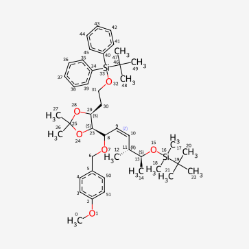 COc1ccc(COC(/C=C\[C@@H](C)[C@H](C)O[Si](C)(C)C(C)(C)C)[C@H]2OC(C)(C)O[C@H]2CCO[Si](c2ccccc2)(c2ccccc2)C(C)(C)C)cc1